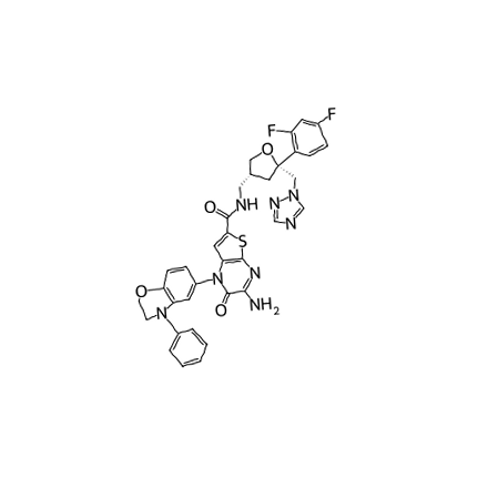 Nc1nc2sc(C(=O)NC[C@@H]3CO[C@@](Cn4cncn4)(c4ccc(F)cc4F)C3)cc2n(-c2ccc3c(c2)N(c2ccccc2)CCO3)c1=O